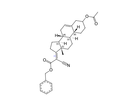 CC(=O)OC1CC[C@H]2C(=CC[C@@H]3[C@@H]2CC[C@]2(C)/C(=C(\C#N)C(=O)OCc4ccccc4)CC[C@@H]32)C1